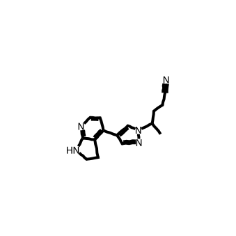 CC(CCC#N)n1cc(-c2ccnc3c2CCN3)cn1